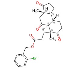 C[C@]1(CCC(=O)OCc2ccccc2Br)C(=O)CC[C@@H]2[C@@H]1C(=O)C[C@]1(C)C(=O)CC[C@@H]21